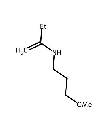 C=C(CC)NCCCOC